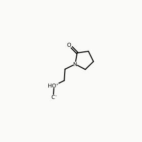 [CH2-][OH+]CCN1CCCC1=O